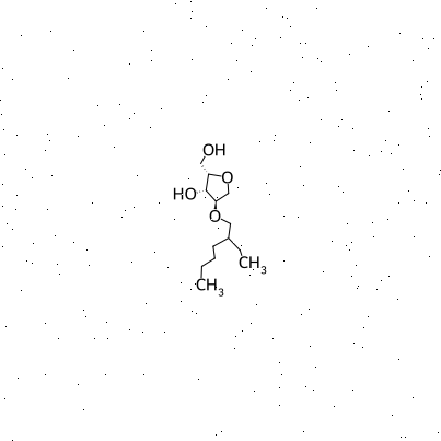 CCCCC(CC)CO[C@@H]1CO[C@@H](CO)[C@H]1O